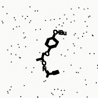 C#CC(C)=NOC(C)COc1ccc(OC(C)CC)cc1